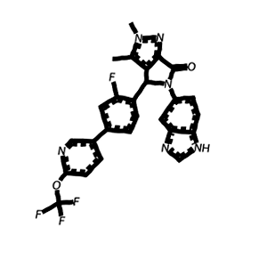 Cc1c2c(nn1C)C(=O)N(c1ccc3[nH]cnc3c1)C2c1ccc(-c2ccc(OC(F)(F)F)nc2)cc1F